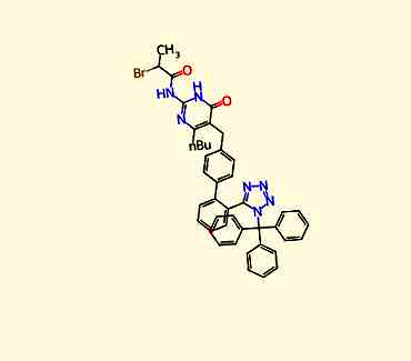 CCCCc1nc(NC(=O)C(C)Br)[nH]c(=O)c1Cc1ccc(-c2ccccc2-c2nnnn2C(c2ccccc2)(c2ccccc2)c2ccccc2)cc1